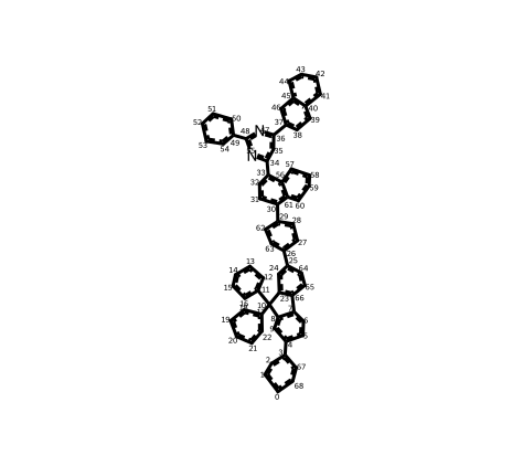 c1ccc(-c2ccc3c(c2)C(c2ccccc2)(c2ccccc2)c2cc(-c4ccc(-c5ccc(-c6cc(-c7ccc8ccccc8c7)nc(-c7ccccc7)n6)c6ccccc56)cc4)ccc2-3)cc1